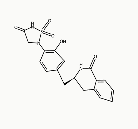 O=C1CN(c2ccc(C[C@@H]3Cc4ccccc4C(=O)N3)cc2O)S(=O)(=O)N1